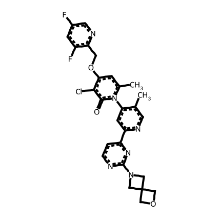 Cc1cnc(-c2ccnc(N3CC4(COC4)C3)n2)cc1-n1c(C)cc(OCc2ncc(F)cc2F)c(Cl)c1=O